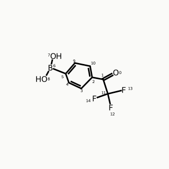 O=C(c1ccc(B(O)O)cc1)C(F)(F)F